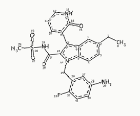 CCc1ccc2c(c1)c(-c1ccc[nH]c1=O)c(C(=O)NS(C)(=O)=O)n2Cc1cc(N)ccc1F